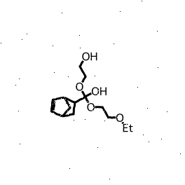 CCOCCOC(O)(OCCO)C1CC2C=CC1C2